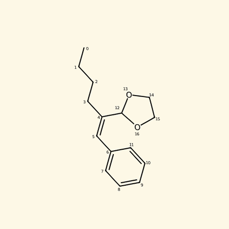 CCCCC(=Cc1ccccc1)C1OCCO1